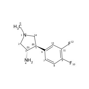 CN1C[C@@H](N)[C@H](c2ccc(F)c(F)c2)C1